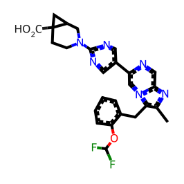 Cc1nc2cnc(-c3cnc(N4CCC5(C(=O)O)CC5C4)nc3)cn2c1Cc1ccccc1OC(F)F